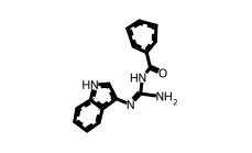 NC(=Nc1c[nH]c2ccccc12)NC(=O)c1ccccc1